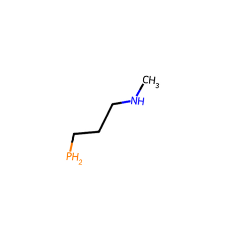 CNCCCP